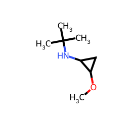 COC1CC1NC(C)(C)C